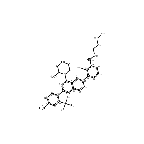 CC1COCCN1c1nc(-c2cnc(N)cc2C(F)(F)F)nc2ccc(-c3cccc(NSCCCF)c3F)nc12